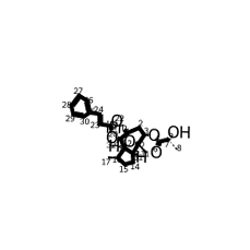 CC(C)C12C[C@@H](OC(=O)[C@@H](C)O)[C@@](C)(O1)[C@@H]1CC[C@@H](C)[C@H]1C2OC(=O)/C=C/c1ccccc1